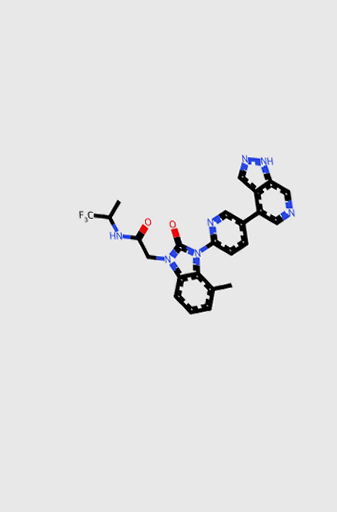 Cc1cccc2c1n(-c1ccc(-c3cncc4[nH]ncc34)cn1)c(=O)n2CC(=O)NC(C)C(F)(F)F